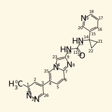 Cc1cc(-c2ccc3nc(NC(=O)NC4(c5cccnc5)CC4)cn3c2)cnn1